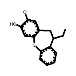 CCC1Cc2cc(O)c(O)cc2Sc2ccccc21